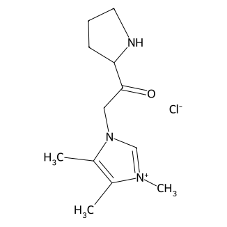 Cc1c(C)[n+](C)cn1CC(=O)C1CCCN1.[Cl-]